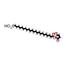 O=C(O)CCCCCCCCCCCCCCCCCCCCCCC(=O)ON1C(=O)CCC1=O